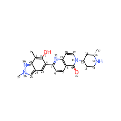 Cc1c(O)c(-c2ccc3c(=O)n([C@H]4CCN[C@@H](C)C4)ccc3n2)cc2cn(C)nc12